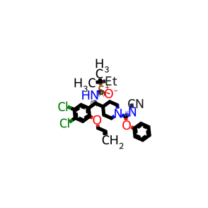 C=CCOc1cc(Cl)c(Cl)cc1[C@H](N[S@@+]([O-])C(C)(C)CC)C1CCN(/C(=N\C#N)Oc2ccccc2)CC1